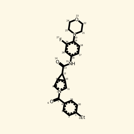 CCc1ccc(C(=O)n2cc3c(c2)C3C(=O)Nc2ccc(N3CCOCC3)c(F)c2)cc1